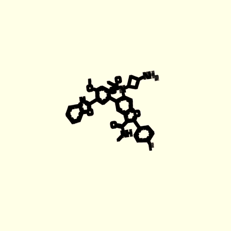 CNC(=O)c1c(-c2ccc(F)cc2)oc2cc(N(C3CC(N)C3)S(C)(=O)=O)c(-c3ccc(OC)c(-c4nc5ccccc5o4)c3)cc12